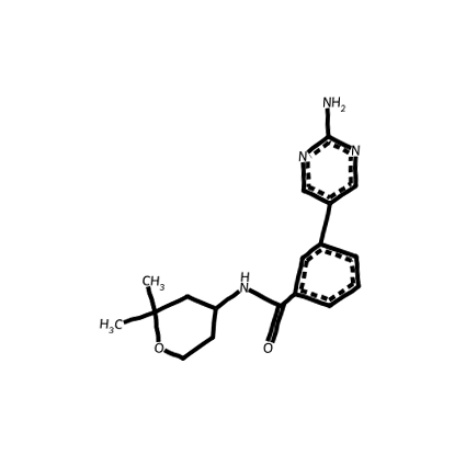 CC1(C)CC(NC(=O)c2cccc(-c3cnc(N)nc3)c2)CCO1